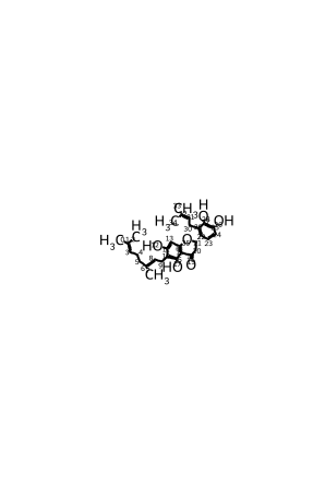 CC(C)=CCC/C(C)=C/Cc1c(O)cc2c(c1O)C(=O)C[C@@H](c1ccc(O)c(O)c1CC=C(C)C)O2